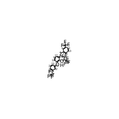 O[C@H](CN(Cc1cc(C(F)(F)F)ccc1F)c1cccc(Oc2cccc(SC(F)(F)F)c2)c1)C(F)(F)F